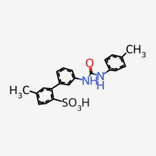 Cc1ccc(NC(=O)Nc2cccc(-c3cc(C)ccc3S(=O)(=O)O)c2)cc1